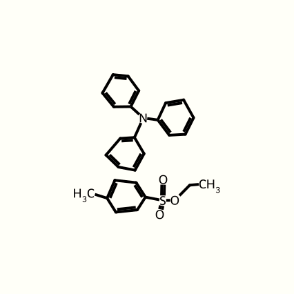 CCOS(=O)(=O)c1ccc(C)cc1.c1ccc(N(c2ccccc2)c2ccccc2)cc1